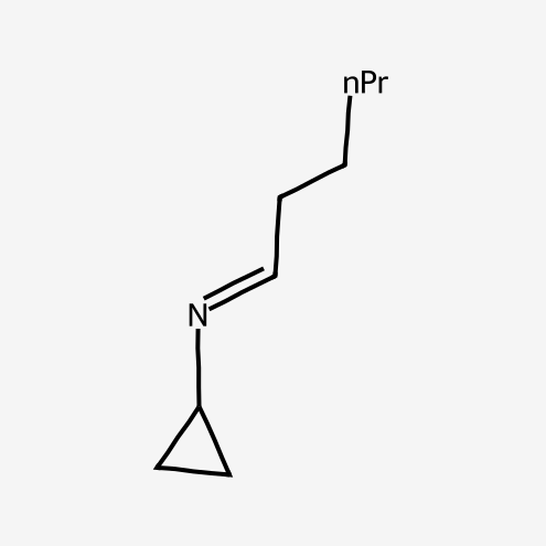 CCCCC/C=N/C1CC1